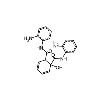 Nc1ccccc1NC(=O)C1C=CC=CC1(O)C(=O)Nc1ccccc1N